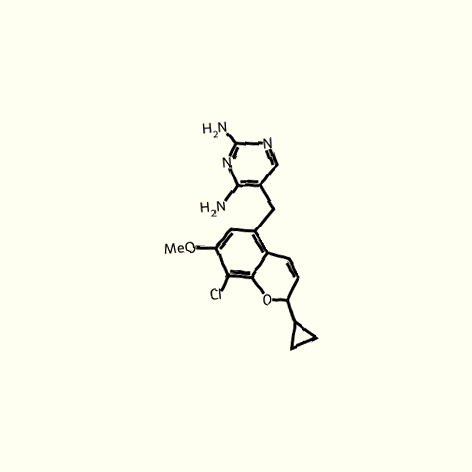 COc1cc(Cc2cnc(N)nc2N)c2c(c1Cl)OC(C1CC1)C=C2